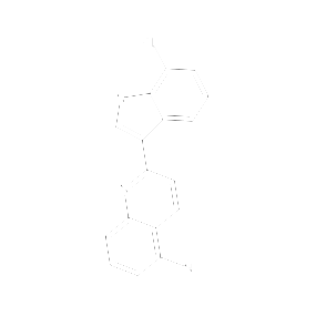 O=[N+]([O-])c1cccc2nc(-c3c[nH]c4c(Cl)cccc34)ccc12